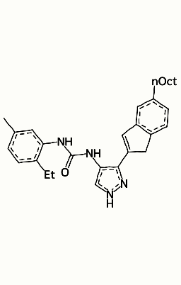 CCCCCCCCc1ccc2c(c1)C=C(c1n[nH]cc1NC(=O)Nc1cc(C)ccc1CC)C2